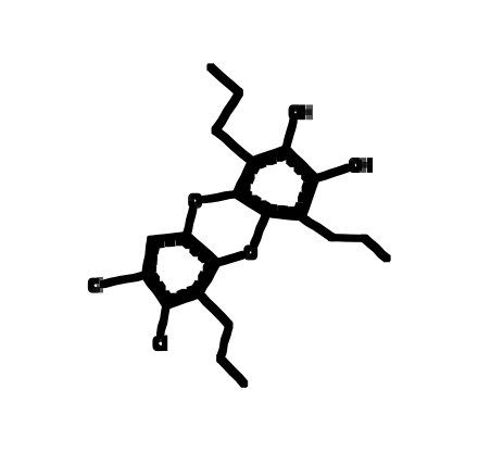 CCCc1c(Cl)c(Cl)cc2c1Oc1c(CCC)c(O)c(O)c(CCC)c1O2